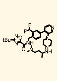 CC(CCN(C)C)NN1CCN(c2cnccc2-c2ccc(CNC(=O)c3nc(C(C)(C)C)no3)c(C(F)F)c2)CC1